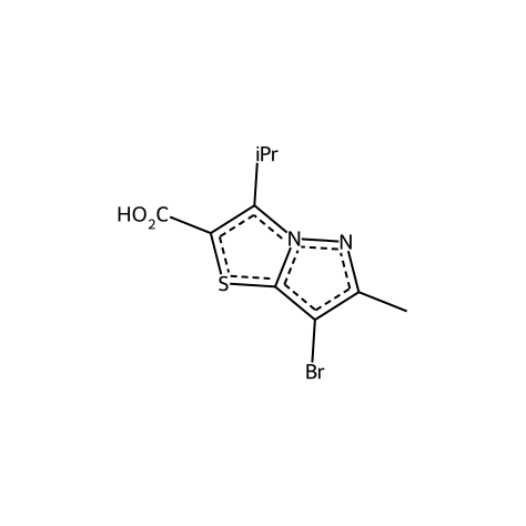 Cc1nn2c(C(C)C)c(C(=O)O)sc2c1Br